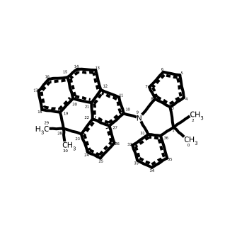 CC1(C)c2ccccc2N(c2cc3ccc4cccc5c4c3c3c(cccc23)C5(C)C)c2ccccc21